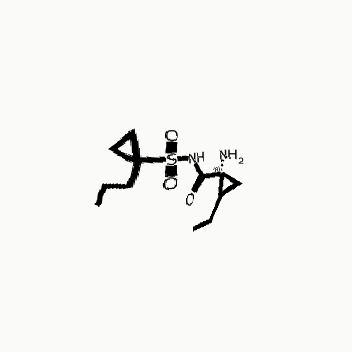 CCCC1(S(=O)(=O)NC(=O)[C@@]2(N)CC2CC)CC1